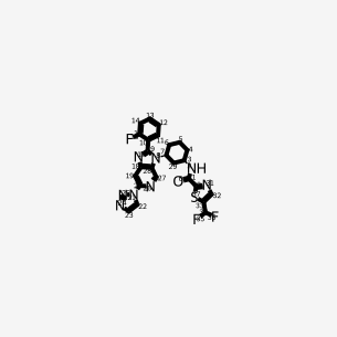 O=C(N[C@H]1CCC[C@@H](n2c(-c3ccccc3F)nc3cc(-n4ccnn4)ncc32)C1)c1ncc(C(F)F)s1